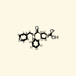 O=C(NCc1ccncc1)[C@H]1CN(C(=O)O)C[C@@H]1c1ccccc1